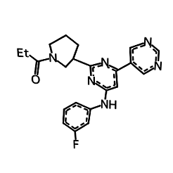 CCC(=O)N1CCCC(c2nc(Nc3cccc(F)c3)cc(-c3cncnc3)n2)C1